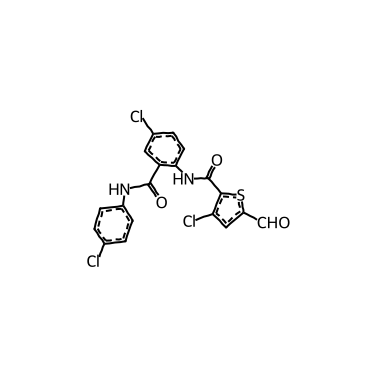 O=Cc1cc(Cl)c(C(=O)Nc2ccc(Cl)cc2C(=O)Nc2ccc(Cl)cc2)s1